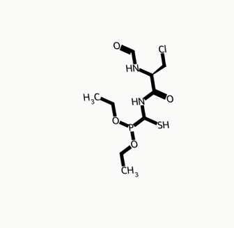 CCOP(OCC)C(S)NC(=O)[C@H](CCl)NC=O